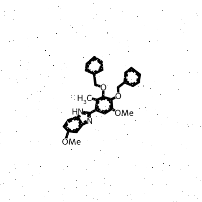 COc1ccc2[nH]c(-c3cc(OC)c(OCc4ccccc4)c(OCc4ccccc4)c3C)nc2c1